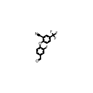 N#Cc1cc(C(F)(F)F)ccc1Oc1ccc(C=O)cc1F